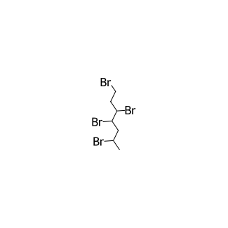 CC(Br)CC(Br)C(Br)CCBr